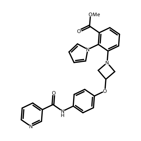 COC(=O)c1cccc(N2CC(Oc3ccc(NC(=O)c4cccnc4)cc3)C2)c1-n1cccc1